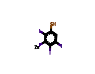 Sc1cc(I)c(I)c(I)c1I.[Zn]